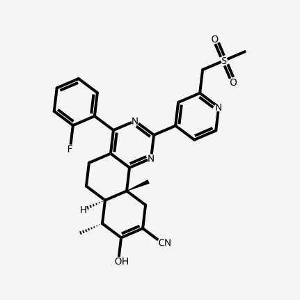 C[C@H]1C(O)=C(C#N)C[C@@]2(C)c3nc(-c4ccnc(CS(C)(=O)=O)c4)nc(-c4ccccc4F)c3CC[C@H]12